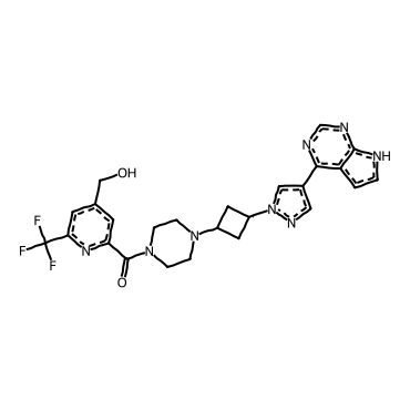 O=C(c1cc(CO)cc(C(F)(F)F)n1)N1CCN(C2C[C](n3cc(-c4ncnc5[nH]ccc45)cn3)C2)CC1